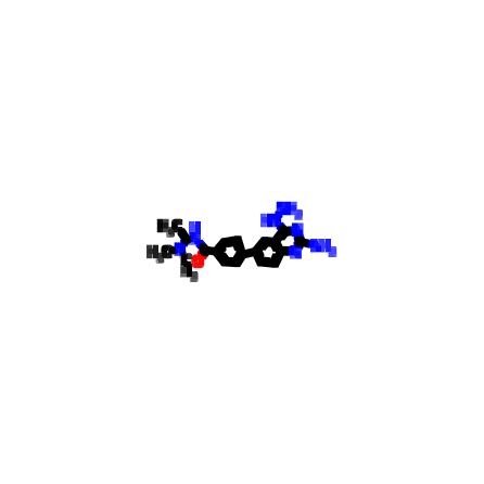 CC(NC(=O)c1ccc(-c2ccc3nc(N)nc(NN)c3c2)cc1)N(C)C